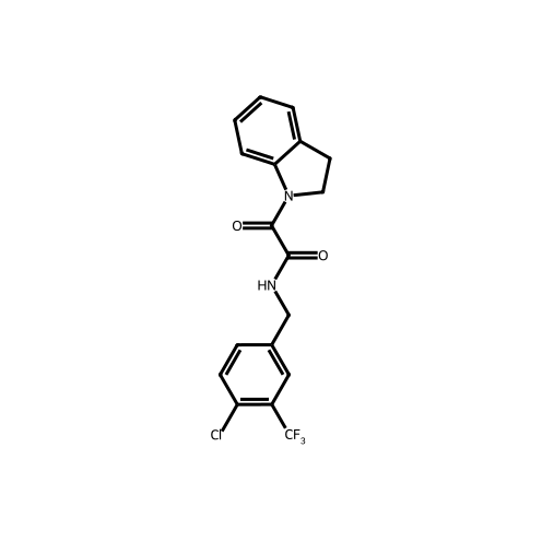 O=C(NCc1ccc(Cl)c(C(F)(F)F)c1)C(=O)N1CCc2ccccc21